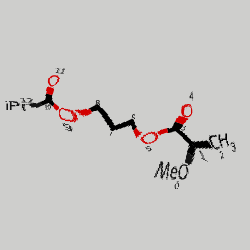 COC(C)C(=O)OCCCOC(=O)C(C)C